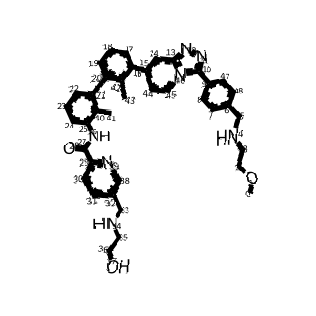 COCCNCc1ccc(-c2nnc3cc(-c4cccc(-c5cccc(NC(=O)c6ccc(CNCCO)cn6)c5C)c4C)ccn23)cc1